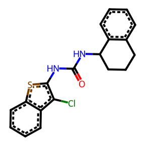 O=C(Nc1sc2ccccc2c1Cl)NC1CCCc2ccccc21